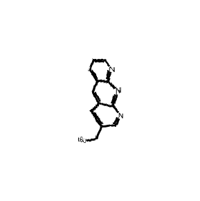 CC(C)(C)Cc1cnc2nc3ncccc3cc2c1